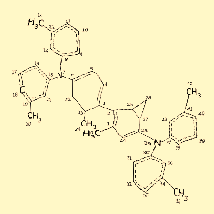 CC1=C(C2=CC=C(N(c3cccc(C)c3)c3cccc(C)c3)CC2C)C2CC2C(N(c2cccc(C)c2)c2cccc(C)c2)=C1